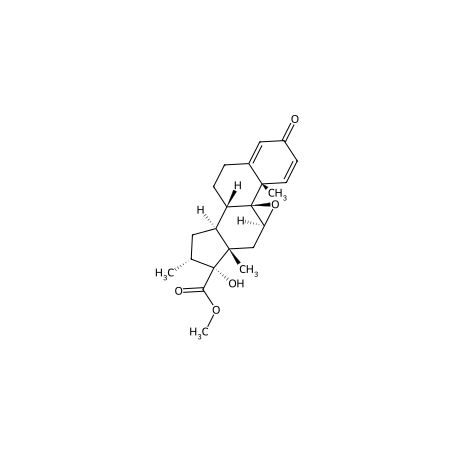 COC(=O)[C@@]1(O)[C@H](C)C[C@H]2[C@@H]3CCC4=CC(=O)C=C[C@]4(C)[C@@]34O[C@H]4C[C@@]21C